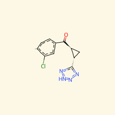 O=C(c1cc[c]c(Cl)c1)[C@H]1C[C@@H]1c1nn[nH]n1